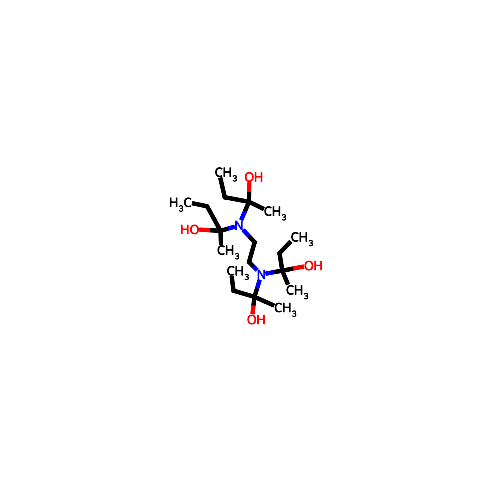 CCC(C)(O)N(CCN(C(C)(O)CC)C(C)(O)CC)C(C)(O)CC